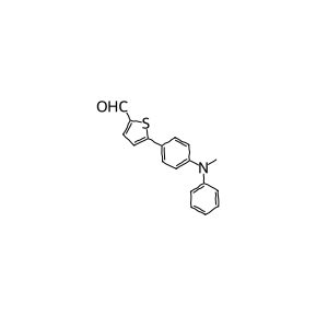 CN(c1ccccc1)c1ccc(-c2ccc(C=O)s2)cc1